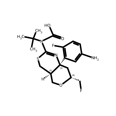 CC(C)(C)N(C(=O)O)C1=N[C@@]2(c3cc(N)ccc3F)C[C@H](CF)OC[C@H]2CS1